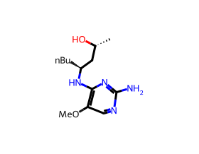 CCCC[C@@H](C[C@@H](C)O)Nc1nc(N)ncc1OC